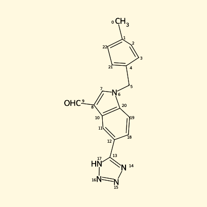 Cc1ccc(Cn2cc(C=O)c3cc(-c4nnn[nH]4)ccc32)cc1